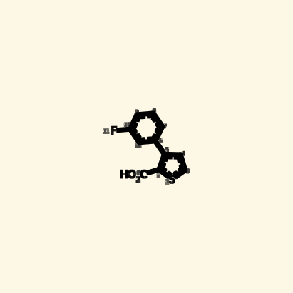 O=C(O)c1sccc1-c1cccc(F)c1